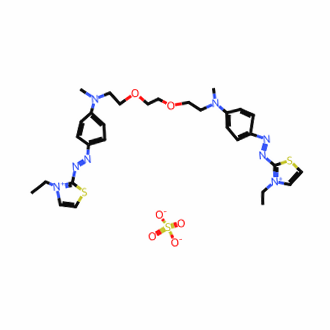 CC[n+]1ccsc1N=Nc1ccc(N(C)CCOCCOCCN(C)c2ccc(N=Nc3scc[n+]3CC)cc2)cc1.O=S(=O)([O-])[O-]